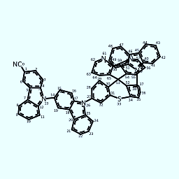 N#Cc1ccc2c(c1)c1ccccc1n2-c1ccc2c(c1)c1ccccc1n2-c1ccc2c(c1)Sc1cccc(-n3c4ccccc4c4ccccc43)c1C21c2cccnc2-c2ncccc21